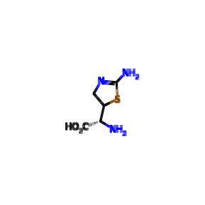 NC1=NCC([C@H](N)C(=O)O)S1